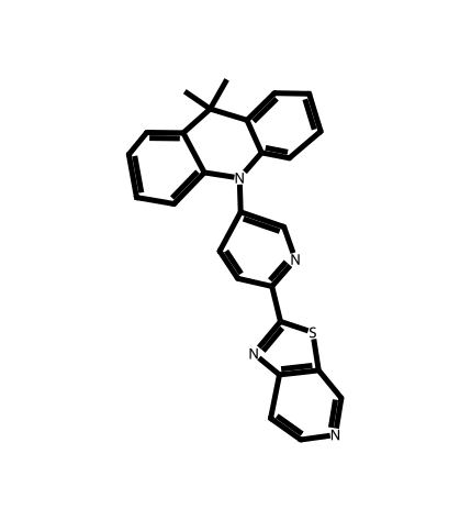 CC1(C)c2ccccc2N(c2ccc(-c3nc4ccncc4s3)nc2)c2ccccc21